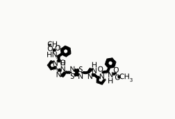 COC(=O)N[C@@H](C(=O)N1CCCC1c1nc(-c2nc3sc(-c4cnc([C@@H]5CCCN5C(=O)[C@H](NC(=O)OC)c5ccccc5)[nH]4)nc3s2)c[nH]1)c1ccccc1